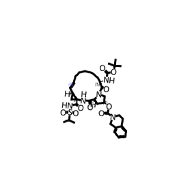 CC(C)S(=O)(=O)NC(=O)[C@@]12C[C@H]1/C=C/CCCCC[C@H](NC(=O)OC(C)(C)C)C(=O)N1C[C@H](OC(=O)N3CCc4ccccc4C3)C[C@H]1C(=O)N2